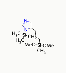 CO[Si](C)(CCCC1CN=CN1[Si](C)(C)C)OC